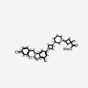 COC(=O)C1(C)CC(N2CCC[C@H](C3CN(c4cc(C)c5nnn(Cc6ccc(Cl)cc6Cl)c5c4)C3)C2)C1